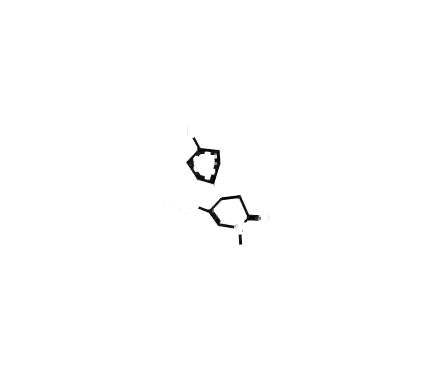 CN1C=C(C(=O)O)[C@H](c2ccc(F)cc2)CC1=O